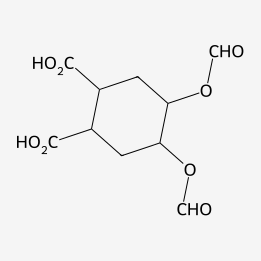 O=COC1CC(C(=O)O)C(C(=O)O)CC1OC=O